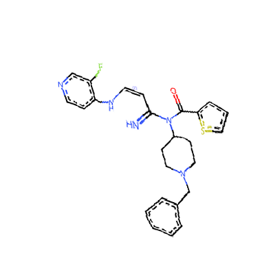 N=C(/C=C\Nc1ccncc1F)N(C(=O)c1cccs1)C1CCN(Cc2ccccc2)CC1